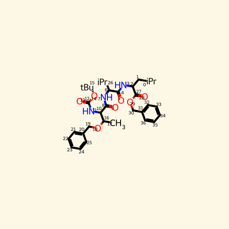 CC(C)CC(NC(=O)C(NC(=O)C(NC(=O)OC(C)(C)C)C(C)OCc1ccccc1)C(C)C)C(=O)OCc1ccccc1